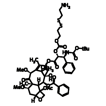 CO[C@H]1C(=O)[C@]2(C)[C@@H](OC)C[C@H]3OC[C@@]3(OC(C)=O)[C@H]2[C@H](OC(=O)c2ccccc2)[C@]2(O)C[C@H](OC(=O)[C@H](OC(=O)OCCSSCCN)[C@@H](NC(=O)OC(C)(C)C)c3ccccc3)C(C)=C1C2(C)C